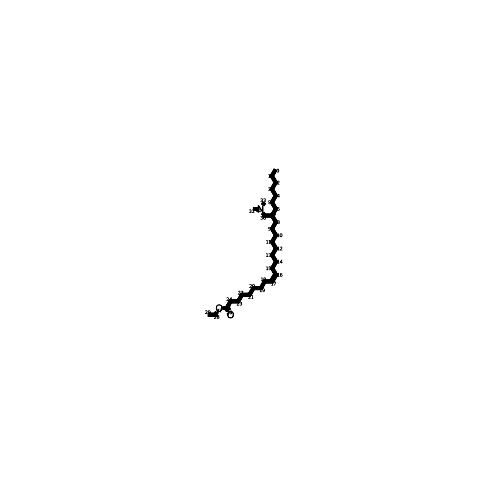 CCCCCCCC(CCCCCCCC/C=C\CCCCCCCC(=O)OCC)CN(C)C